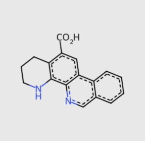 O=C(O)c1cc2c(ncc3ccccc32)c2c1CCCN2